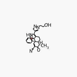 C[C@@H]1C(=O)C(C#N)=C[C@]2(c3ccccc3)c3n[nH]c(-c4cnn(CCO)c4)c3CC[C@@H]12